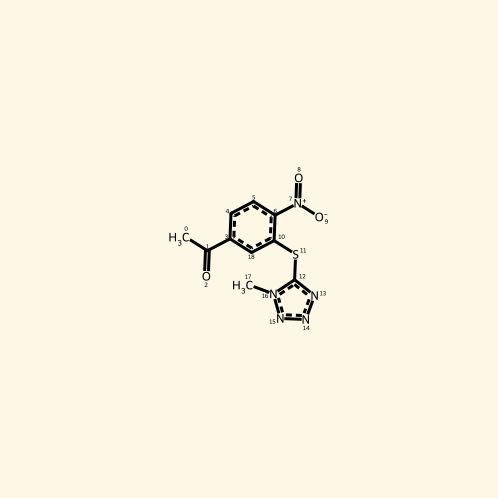 CC(=O)c1ccc([N+](=O)[O-])c(Sc2nnnn2C)c1